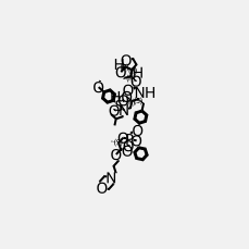 COc1ccc(S(=O)(=O)N(CC(C)C)C[C@@H](O)[C@H](Cc2ccc(OCP(=O)(Oc3ccccc3)O[C@@H](C)C(=O)OCCCN3CCOCC3)cc2)NC(=O)O[C@H]2CO[C@H]3OCC[C@H]32)cc1